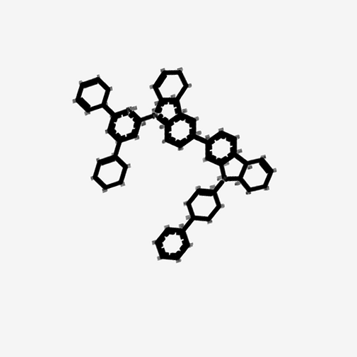 C1=CCC(c2cc(C3=CCCCC3)cc(-n3c4c(c5cc(-c6ccc7c(c6)N(C6=CCC(c8ccccc8)CC6)C6CCC=CC76)ccc53)CCC=C4)n2)C=C1